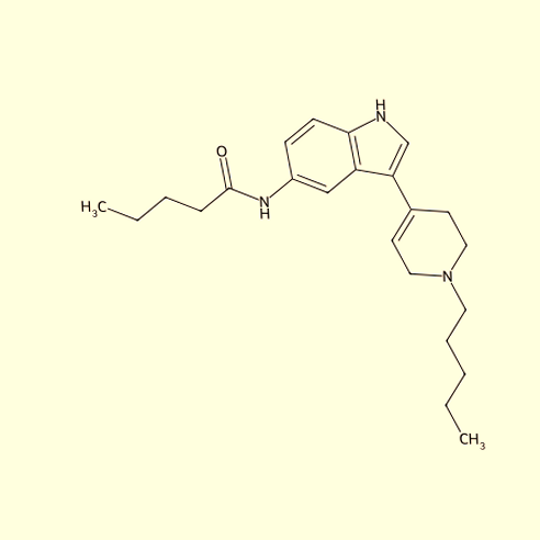 CCCCCN1CC=C(c2c[nH]c3ccc(NC(=O)CCCC)cc23)CC1